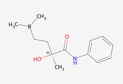 CB(C)CC[C@](C)(O)C(=O)Nc1ccccc1